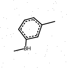 CBc1cccc(C)c1